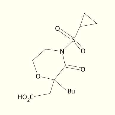 CCC(C)C1(CC(=O)O)OCCN(S(=O)(=O)C2CC2)C1=O